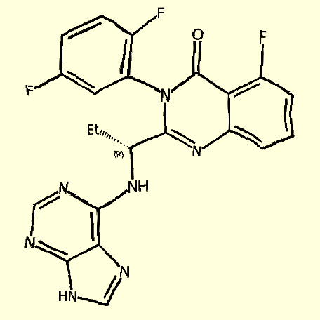 CC[C@@H](Nc1ncnc2[nH]cnc12)c1nc2cccc(F)c2c(=O)n1-c1cc(F)ccc1F